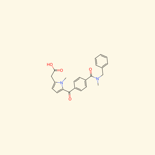 CN(Cc1ccccc1)C(=O)c1ccc(C(=O)c2ccc(CC(=O)O)n2C)cc1